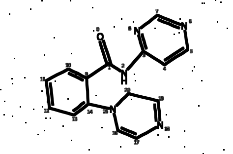 O=C(Nc1ccncn1)c1ccccc1N1C=CN=CC1